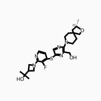 C[C@H]1CC2(CCN(c3ncc(Sc4ccnc(N5CC(C(C)(C)O)C5)c4F)nc3CO)CC2)CO1